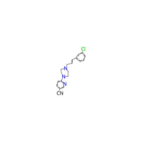 N#Cc1ccc(N2CCN(C/C=C/c3cccc(Cl)c3)CC2)nc1